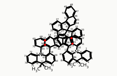 CC1(C)c2ccccc2N(c2ccccc2)c2c(-c3cccc4c(-c5cccc6c5C5(c7ccccc7-c7ccccc75)c5ccc7ccccc7c5-6)c5cccc(-c6cccc7c6N(c6ccccc6)c6ccccc6C7(C)C)c5cc34)cccc21